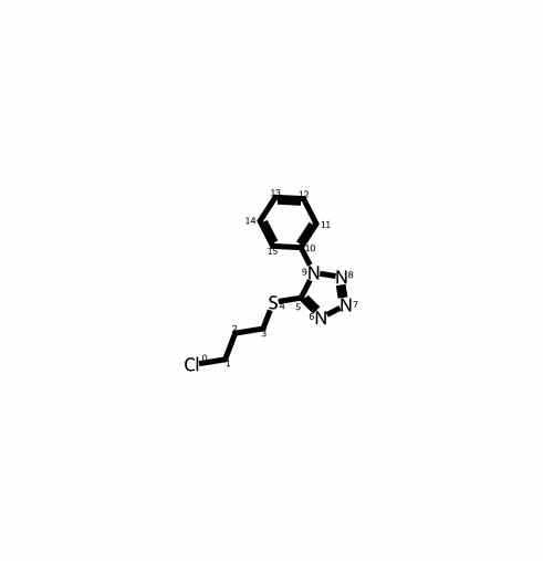 ClCCCSc1nnnn1-c1ccccc1